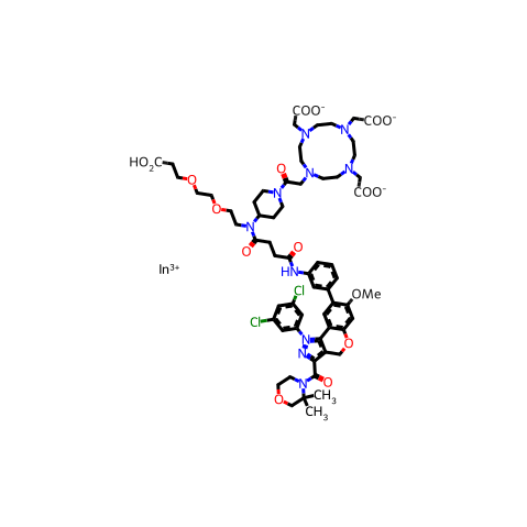 COc1cc2c(cc1-c1cccc(NC(=O)CCC(=O)N(CCOCCOCCC(=O)O)C3CCN(C(=O)CN4CCN(CC(=O)[O-])CCN(CC(=O)[O-])CCN(CC(=O)[O-])CC4)CC3)c1)-c1c(c(C(=O)N3CCOCC3(C)C)nn1-c1cc(Cl)cc(Cl)c1)CO2.[In+3]